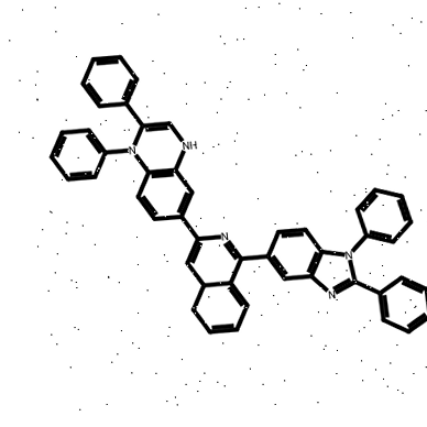 C1=CCC2C=C(c3ccc4c(c3)NC=C(c3ccccc3)N4c3ccccc3)N=C(c3ccc4c(c3)nc(-c3ccccc3)n4-c3ccccc3)C2=C1